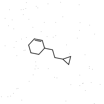 C1=C[C](CCC2CC2)CCC1